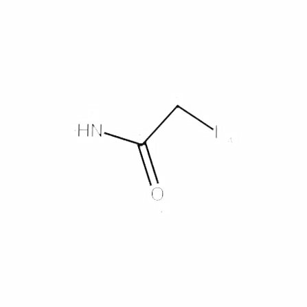 [NH]C(=O)CI